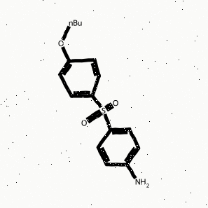 CCCCOc1ccc(S(=O)(=O)c2ccc(N)cc2)cc1